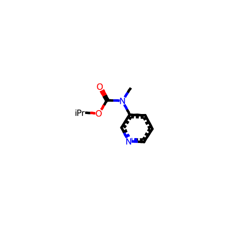 CC(C)OC(=O)N(C)c1cccnc1